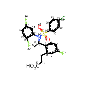 C[C@H](c1ccc(F)cc1CCC(=O)O)N(c1cc(F)ccc1F)S(=O)(=O)c1ccc(Cl)cc1